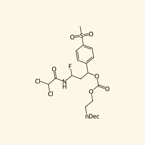 CCCCCCCCCCCCOC(=O)OC(CC(F)NC(=O)C(Cl)Cl)c1ccc(S(C)(=O)=O)cc1